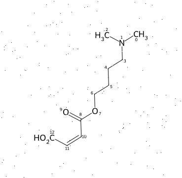 CN(C)CCCCOC(=O)/C=C\C(=O)O